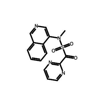 CN(c1cncc2ccccc12)S(=O)(=O)C(=O)c1ncccn1